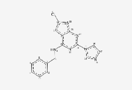 Clc1cc2c(NCc3ccccc3)nc(-n3ccnc3)nc2s1